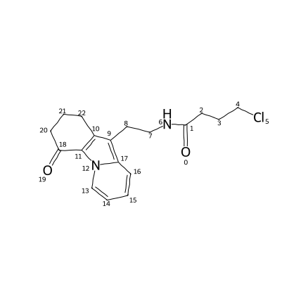 O=C(CCCCl)NCCc1c2c(n3ccccc13)C(=O)CCC2